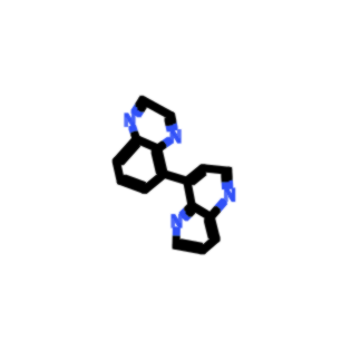 c1cc(-c2ccnc3cccnc23)c2nccnc2c1